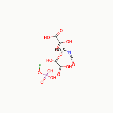 O=C(O)C(=O)O.O=C(O)C(=O)O.O=C=NS(=O)(=O)O.O=P(O)(O)OF